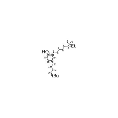 CCC(C)(C)CCCCCCc1cc(CCCCC(C)(C)C)ccc1O